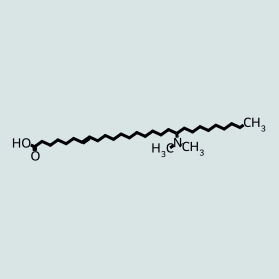 CCCCCCCCCC(CCCCCCCCCCC=CCCCCCC(=O)O)N(C)C